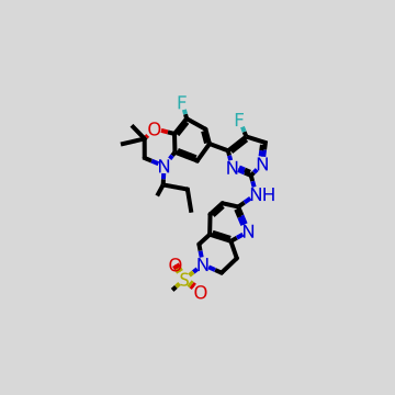 CCC(C)N1CC(C)(C)Oc2c(F)cc(-c3nc(Nc4ccc5c(n4)CCN(S(C)(=O)=O)C5)ncc3F)cc21